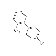 FC(F)(F)c1[c]cccc1-c1ccc(Br)cc1